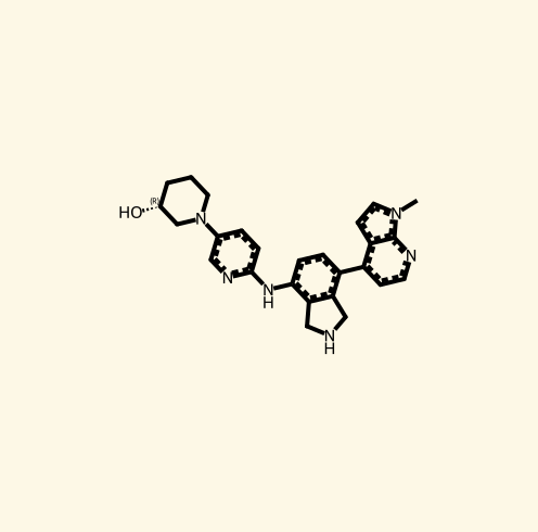 Cn1ccc2c(-c3ccc(Nc4ccc(N5CCC[C@@H](O)C5)cn4)c4c3CNC4)ccnc21